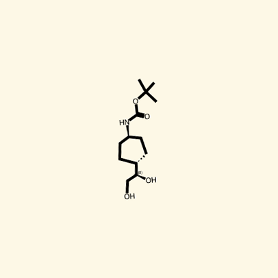 CC(C)(C)OC(=O)N[C@H]1CC[C@H]([C@@H](O)CO)CC1